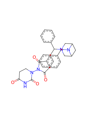 O=C1CCN(N2C(=O)c3ccc(CN4C5CC4CN(C(c4ccccc4)c4ccccc4)C5)cc3C2=O)C(=O)N1